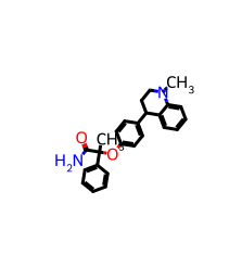 CN1CCC(c2ccc(OC(C)(C(N)=O)c3ccccc3)cc2)c2ccccc21